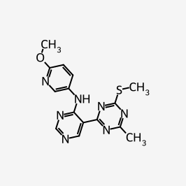 COc1ccc(Nc2ncncc2-c2nc(C)nc(SC)n2)cn1